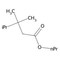 CCCOC(=O)CC(C)(C)C(C)C